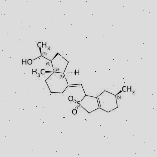 C[C@H]1CCC2=C(C1)C(C=C1CCC[C@]3(C)[C@@H]([C@H](C)O)CC[C@@H]13)S(=O)(=O)C2